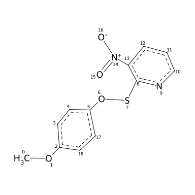 COc1ccc(OSc2ncccc2[N+](=O)[O-])cc1